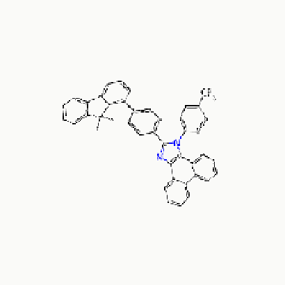 CC1(C)c2ccccc2-c2cccc(-c3ccc(-c4nc5c6ccccc6c6ccccc6c5n4-c4ccc(C(F)(F)F)cc4)cc3)c21